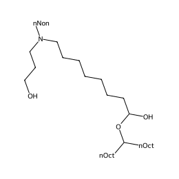 CCCCCCCCCN(CCCO)CCCCCCCC(O)OC(CCCCCCCC)CCCCCCCC